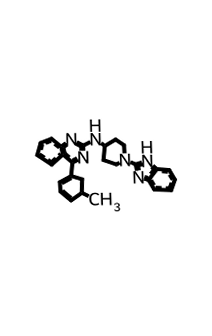 CC1C=CC=C(c2nc(NC3CCN(c4nc5ccccc5[nH]4)CC3)nc3ccccc23)C1